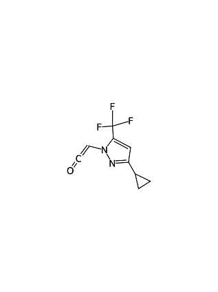 O=C=Cn1nc(C2CC2)cc1C(F)(F)F